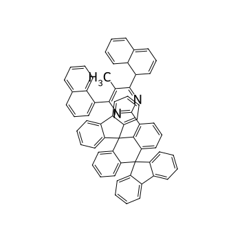 Cc1c(-c2cccc3ccccc23)nc(-c2cccc3c2C2(c4ccccc4-c4ccccc42)c2ccccc2C32c3ccccc3-c3ccccc32)nc1C1C=CC=C2C=CC=CC21